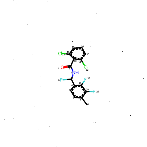 Cc1ccc(C(F)NC(=O)c2c(Cl)cccc2Cl)c(F)c1F